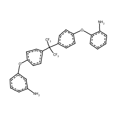 Nc1cccc(Oc2ccc(C(c3ccc(Oc4ccccc4N)cc3)(C(F)(F)F)C(F)(F)F)cc2)c1